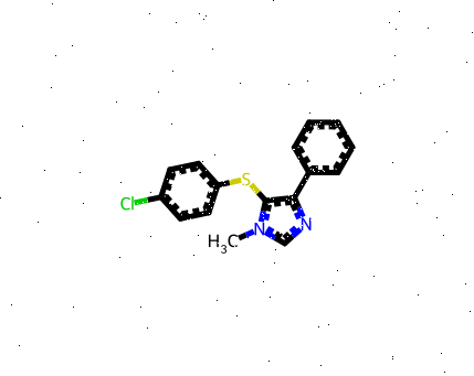 Cn1cnc(-c2ccccc2)c1Sc1ccc(Cl)cc1